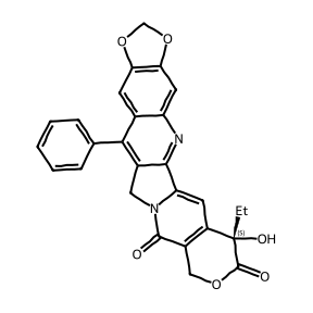 CC[C@@]1(O)C(=O)OCc2c1cc1n(c2=O)Cc2c-1nc1cc3c(cc1c2-c1ccccc1)OCO3